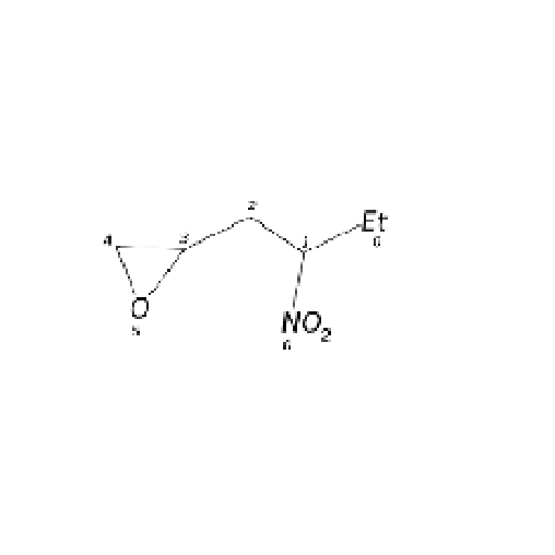 CCC(CC1CO1)[N+](=O)[O-]